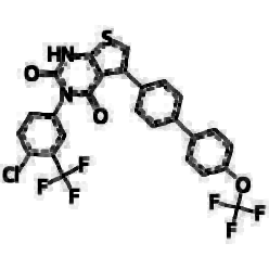 O=c1[nH]c2scc(-c3ccc(-c4ccc(OC(F)(F)F)cc4)cc3)c2c(=O)n1-c1ccc(Cl)c(C(F)(F)F)c1